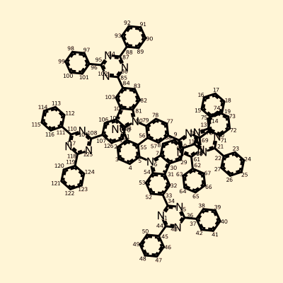 N#Cc1cccc(-n2c3ccc(-c4nc(-c5ccccc5)nc(-c5ccccc5)n4)cc3c3cc(-c4nc(-c5ccccc5)nc(-c5ccccc5)n4)ccc32)c1-c1cc(-c2nc(-c3ccccc3)nc(-c3ccccc3)n2)ccc1-n1c2ccc(-c3nc(-c4ccccc4)nc(-c4ccccc4)n3)cc2c2cc(-c3nc(-c4ccccc4)nc(-c4ccccc4)n3)ccc21